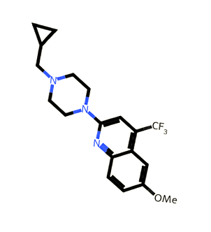 COc1ccc2nc(N3CCN(CC4CC4)CC3)cc(C(F)(F)F)c2c1